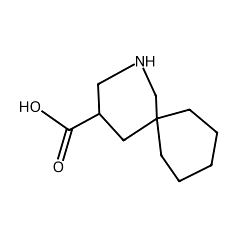 O=C(O)C1CNCC2(CCCCC2)C1